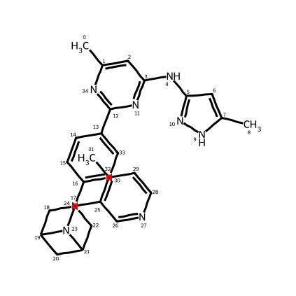 Cc1cc(Nc2cc(C)[nH]n2)nc(-c2ccc(N3CC4CC(C3)N4Cc3cnccc3C)nc2)n1